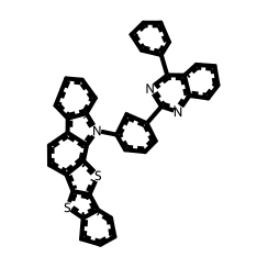 c1ccc(-c2nc(-c3cccc(-n4c5ccccc5c5ccc6c7sc8ccccc8c7sc6c54)c3)nc3ccccc23)cc1